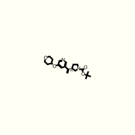 C=C(c1cncc(OC2CCOCC2)c1)[C@H]1CCN(C(=O)OC(C)(C)C)C1